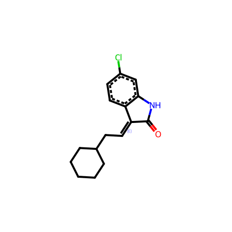 O=C1Nc2cc(Cl)ccc2/C1=C\CC1CCCCC1